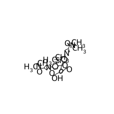 CN(C)C(=O)C1CN(c2ccc3c(c2)[Si](C)(C)c2cc(N4CC(C(=O)N(C)C)C4)ccc2C32OC(=O)c3ccc(C(=O)O)cc32)C1